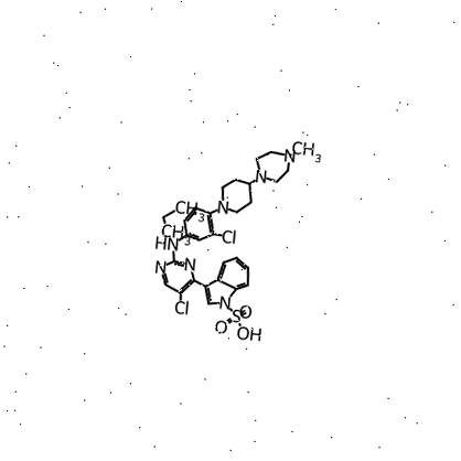 CCC.CN1CCN(C2CCN(c3ccc(Nc4ncc(Cl)c(-c5cn(S(=O)(=O)O)c6ccccc56)n4)cc3Cl)CC2)CC1